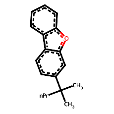 CCCC(C)(C)c1ccc2c(c1)oc1ccccc12